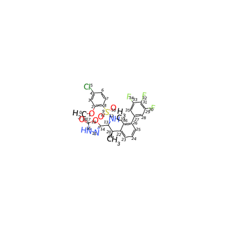 COc1cc(Cl)ccc1S(=O)(=O)N[C@H](c1n[nH]c(=O)o1)[C@H](C)c1cccc(-c2cc(F)c(F)c(F)c2)c1C